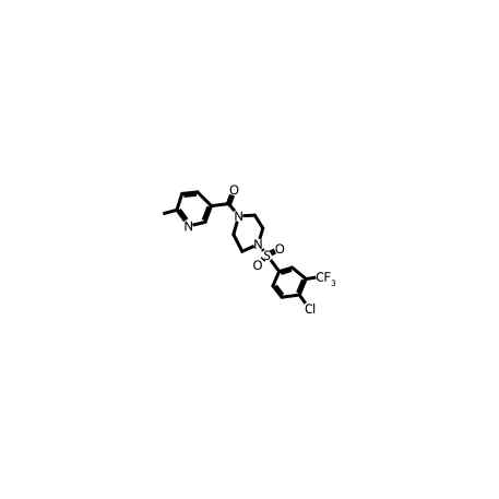 Cc1ccc(C(=O)N2CCN(S(=O)(=O)c3ccc(Cl)c(C(F)(F)F)c3)CC2)cn1